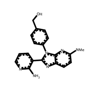 CNc1ccc2nc(-c3cccnc3N)n(-c3ccc(CO)cc3)c2n1